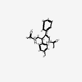 CC(=O)NCC(c1ccccc1)C(CNC(C)=O)c1ccc(C)cc1